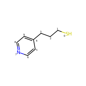 SCCCc1ccncc1